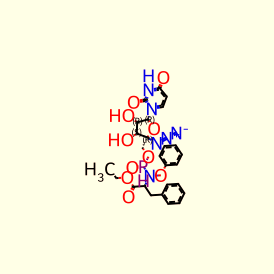 CCOC(=O)C(Cc1ccccc1)N(Oc1ccccc1)[PH](=O)OC[C@@]1(N=[N+]=[N-])O[C@@H](n2ccc(=O)[nH]c2=O)[C@H](O)[C@@H]1O